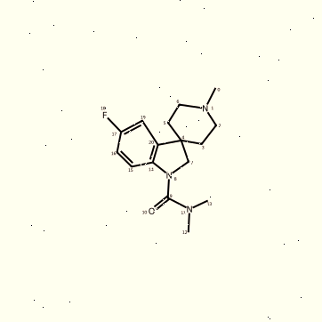 CN1CCC2(CC1)CN(C(=O)N(C)C)c1ccc(F)cc12